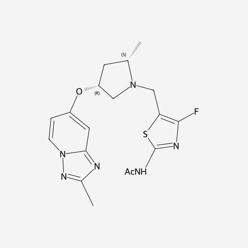 CC(=O)Nc1nc(F)c(CN2C[C@H](Oc3ccn4nc(C)nc4c3)C[C@@H]2C)s1